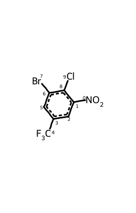 O=[N+]([O-])c1cc(C(F)(F)F)cc(Br)c1Cl